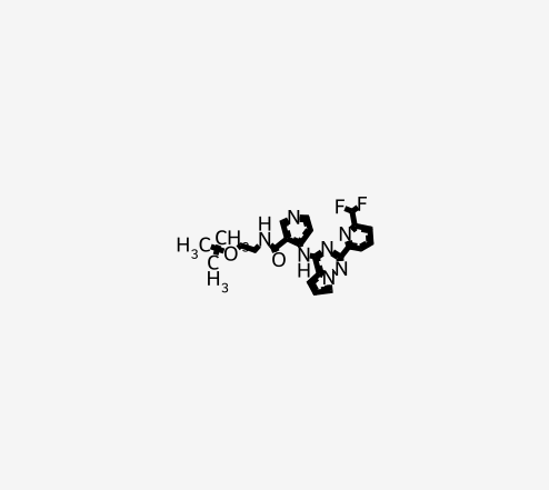 CC(C)(C)OCCNC(=O)c1cnccc1Nc1nc(-c2cccc(C(F)F)n2)nn2cccc12